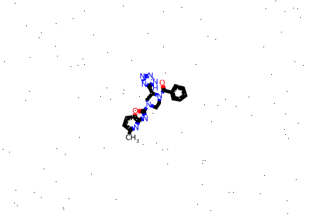 Cc1ccc2oc(N3CCN(C(=O)c4ccccc4)C(c4nnn[nH]4)C3)nc2n1